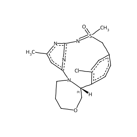 Cc1cc2nc(n1)N=S(C)(=O)Cc1ccc(c(Cl)c1)[C@@H]1COCCCN21